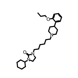 CCCOc1ccccc1C1CCN(CCCCCCN2CCN(C3CCCCC3)C2=O)CC1